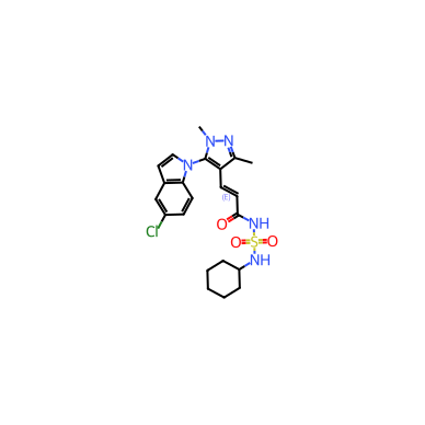 Cc1nn(C)c(-n2ccc3cc(Cl)ccc32)c1/C=C/C(=O)NS(=O)(=O)NC1CCCCC1